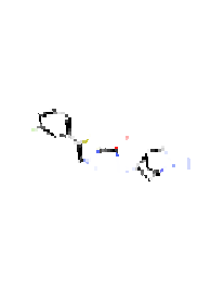 O=C(NC1CC2CC1CN2)c1ncc(-c2cccc(F)c2)s1